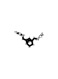 S=C=NCC1CC2(CN=C=S)CCC1C2